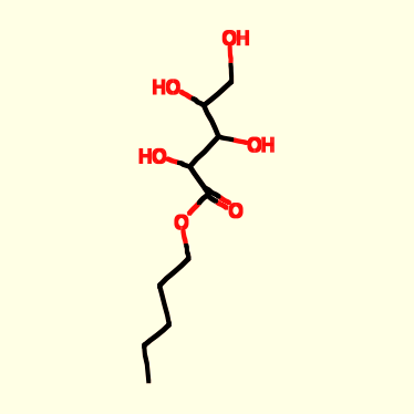 CCCCCOC(=O)C(O)C(O)C(O)CO